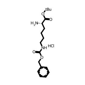 CC(C)(C)OC(=O)[C@@H](N)CCCCNC(=O)OCc1ccccc1.Cl